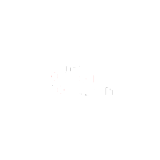 CCC[C@@H]1OC(C)(C)OC1C(O)/C=C\CC(C)C